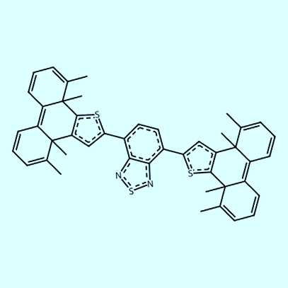 CC1=CC=CC2=C3C=CC=C(C)C3(C)c3sc(-c4ccc(-c5cc6c(s5)C5(C)C(C)=CC=CC5=C5C=CC=C(C)C56C)c5nsnc45)cc3C12C